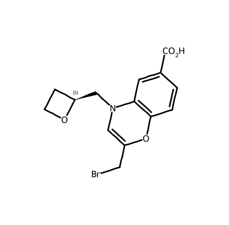 O=C(O)c1ccc2c(c1)N(C[C@@H]1CCO1)C=C(CBr)O2